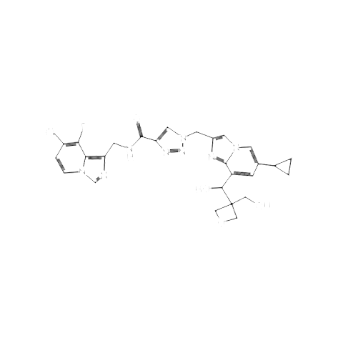 O=C(NCc1ncn2ccc(Cl)c(F)c12)c1cn(Cc2cn3cc(C4CC4)cc(C(O)C4(CO)COC4)c3n2)nn1